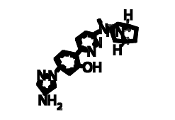 CN(c1ccc(-c2ccc(-n3cc(N)cn3)cc2O)nn1)[C@H]1C[C@H]2CC[C@@H](C1)N2